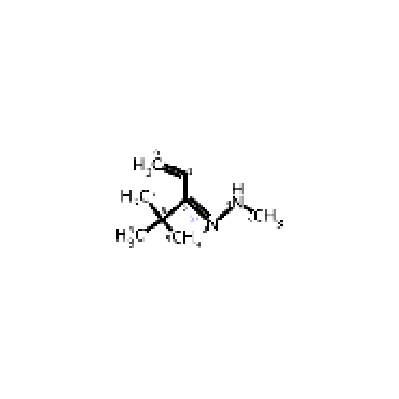 C=C/C(=N\NC)C(C)(C)C